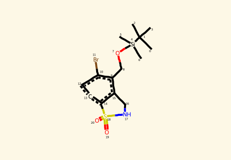 CC(C)(C)[Si](C)(C)OCc1c(Br)ccc2c1CNS2(=O)=O